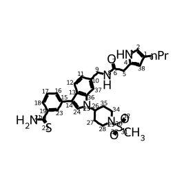 CCCc1c[nH]c(CC(=O)NCc2ccc3c(-c4cccc(C(N)=S)c4)cn(C4CCN(S(C)(=O)=O)CC4)c3c2)c1